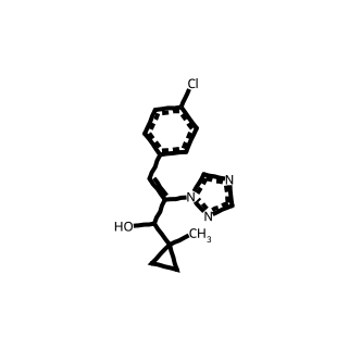 CC1(C(O)/C(=C/c2ccc(Cl)cc2)n2cncn2)CC1